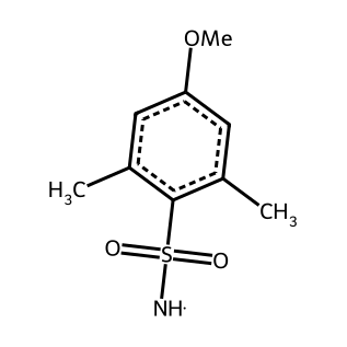 COc1cc(C)c(S([NH])(=O)=O)c(C)c1